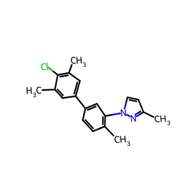 Cc1ccn(-c2cc(-c3cc(C)c(Cl)c(C)c3)ccc2C)n1